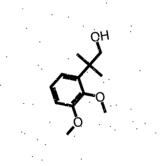 COc1cccc(C(C)(C)CO)c1OC